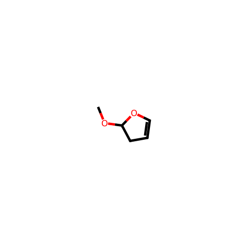 CO[C]1CC=CO1